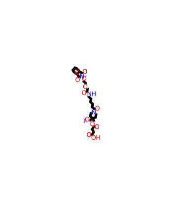 O=C(O)CCC(=O)OCC1(COI)CCN(C(=O)CCCCCNC(=O)COCCON2C(=O)C3C4C=CC(O4)C3C2=O)CC1